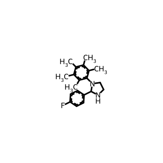 Cc1c(C)c(C)c(N2CCNC2c2ccc(F)cc2)c(C)c1C